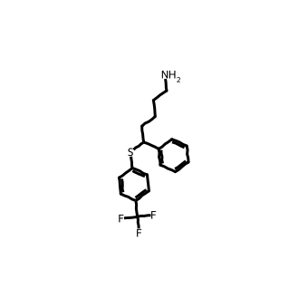 NCCCCC(Sc1ccc(C(F)(F)F)cc1)c1ccccc1